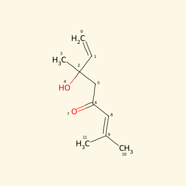 C=CC(C)(O)CC(=O)C=C(C)C